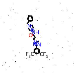 O=C(C=Cn1cnc(-c2cc(C(F)(F)F)cc(C(F)(F)F)c2)n1)NN1CCN(Cc2ccccc2)CC1